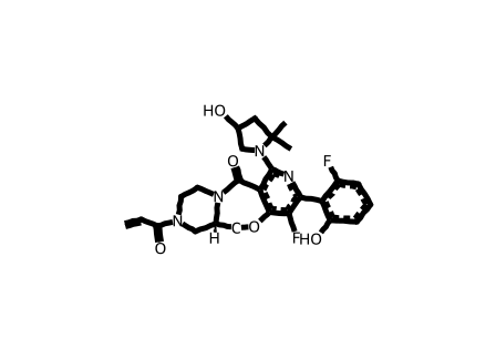 C=CC(=O)N1CCN2C(=O)c3c(N4CC(O)CC4(C)C)nc(-c4c(O)cccc4F)c(F)c3OC[C@H]2C1